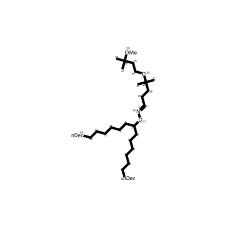 CCCCCCCCCCCCCCCCC(CCCCCCCCCCCCCCCC)O/N=C/CCC(C)(C)OCCC(C)(C)OC